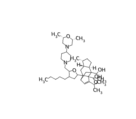 CCCCCC1CC(C23C[C@@H]4[C@H](C)CC[C@H]4C4(C(C)O)CC2C=C(C(C)C)C34C(=O)O)OC1CN1CCC(N2C[C@@H](C)O[C@@H](C)C2)CC1